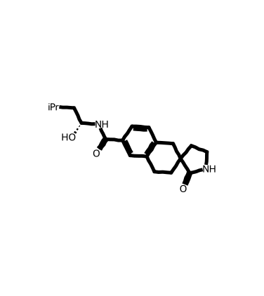 CC(C)C[C@@H](O)NC(=O)c1ccc2c(c1)CCC1(CCNC1=O)C2